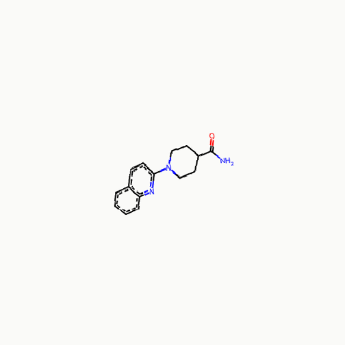 NC(=O)C1CCN(c2ccc3ccccc3n2)CC1